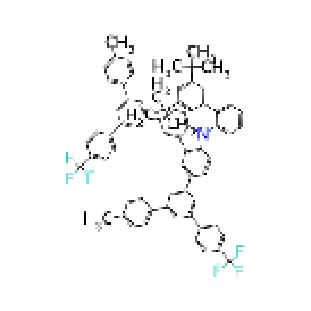 Cc1ccc(-c2cc(-c3ccc(C(F)(F)F)cc3)cc(-c3ccc4c(c3)c3cc(-c5cc(-c6ccc(C)cc6)cc(-c6ccc(C(F)(F)F)cc6)c5)ccc3n4-c3ccccc3-c3cc(C(C)(C)C)cc(C(C)(C)C)c3)c2)cc1